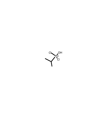 CC(C)[PH](O)(Cl)Cl